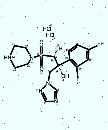 C[C@H]([C@](O)(Cn1cncn1)c1ccc(F)cc1F)S(=O)(=O)N1CCNCC1.Cl.Cl